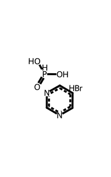 Br.O=[PH](O)O.c1cncnc1